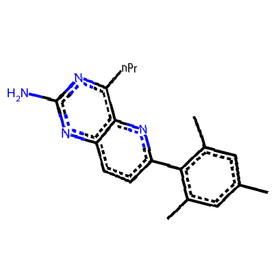 CCCc1nc(N)nc2ccc(-c3c(C)cc(C)cc3C)nc12